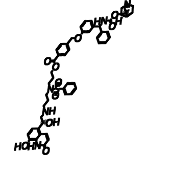 O=C(NC(c1ccccc1)c1cccc(OCc2ccc(C(=O)OCCCN(CCCNC[C@H](O)c3ccc(O)c4[nH]c(=O)ccc34)S(=O)(=O)c3ccccc3)cc2)c1)O[C@H]1CN2CCC1CC2